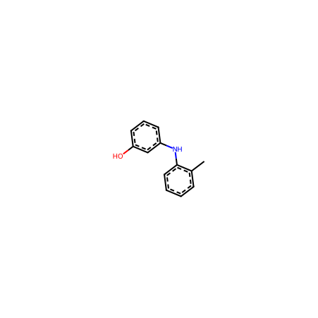 Cc1ccccc1Nc1cccc(O)c1